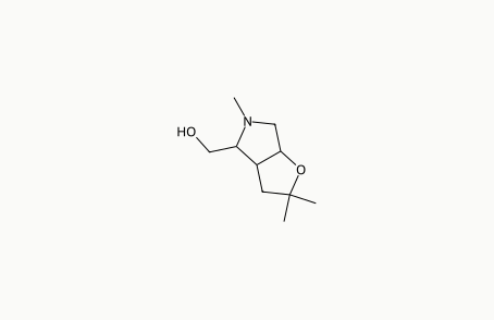 CN1CC2OC(C)(C)CC2C1CO